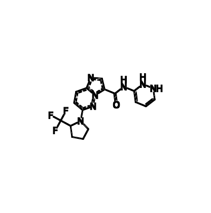 O=C(NC1=CC=CNN1)c1cnc2ccc(N3CCCC3C(F)(F)F)nn12